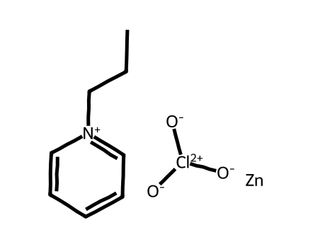 CCC[n+]1ccccc1.[O-][Cl+2]([O-])[O-].[Zn]